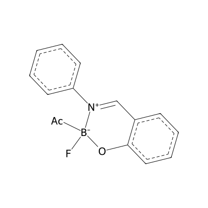 CC(=O)[B-]1(F)Oc2ccccc2C=[N+]1c1ccccc1